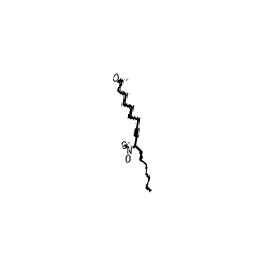 CCCCCC=CC(C#CCCCCCC[C]=O)[N+](=O)[O-]